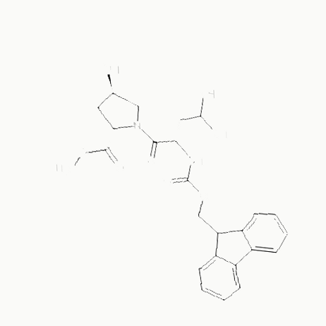 COC(=O)[C@@H]1C[C@@H](O)CN1C(=O)[C@H](CC(C)C)NC(=O)OCC1c2ccccc2-c2ccccc21